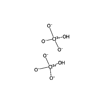 [O-][Cl+3]([O-])([O-])O.[O-][Cl+3]([O-])([O-])O